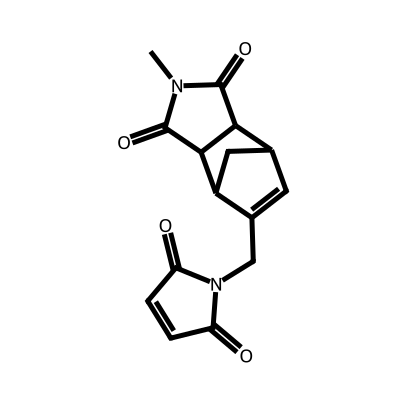 CN1C(=O)C2C3C=C(CN4C(=O)C=CC4=O)C(C3)C2C1=O